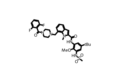 COc1c(NC(=O)c2cc3cccc(CN4CCN(C(=O)c5c(F)cccc5F)CC4)c3n2C)cc(C(C)(C)C)cc1NS(C)(=O)=O